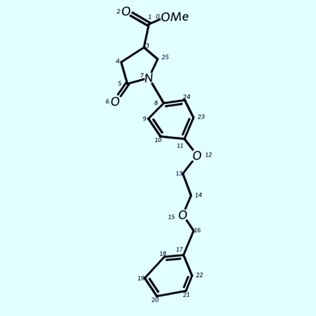 COC(=O)C1CC(=O)N(c2ccc(OCCOCc3ccccc3)cc2)C1